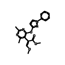 COC=C(C(=O)OC)c1c(C)nc(C)nc1Oc1ccn(-c2ccccc2)n1